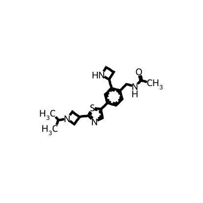 CC(=O)NCc1ccc(-c2cnc(C3CN(C(C)C)C3)s2)cc1C1CCN1